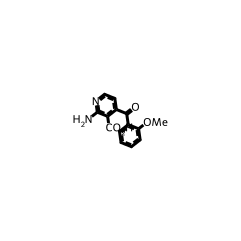 COc1ccccc1C(=O)c1ccnc(N)c1C(=O)O